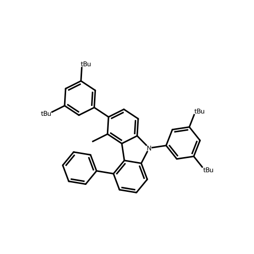 Cc1c(-c2cc(C(C)(C)C)cc(C(C)(C)C)c2)ccc2c1c1c(-c3ccccc3)cccc1n2-c1cc(C(C)(C)C)cc(C(C)(C)C)c1